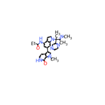 CCC(=O)Nc1cc(-c2cn(C)c3c(=O)[nH]ccc23)cc2c1ccn2C(C)(/C(C)=N/C)c1cnccn1